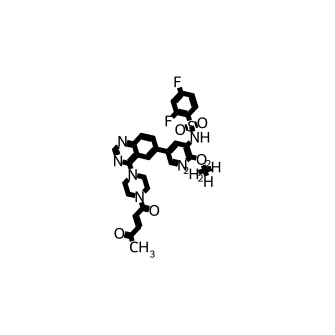 [2H]C([2H])([2H])Oc1ncc(-c2ccc3ncnc(N4CCN(C(=O)/C=C/C(C)=O)CC4)c3c2)cc1NS(=O)(=O)c1ccc(F)cc1F